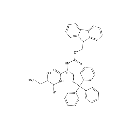 CC(C)C(NC(=O)[C@@H](CSC(c1ccccc1)(c1ccccc1)c1ccccc1)NC(=O)OCC1c2ccccc2-c2ccccc21)C(O)CC(=O)O